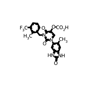 Cc1cc2[nH]c(=O)[nH]c2cc1-n1cc(OC(=O)O)c(=O)n(Cc2cccc(C(F)(F)F)c2C)c1=O